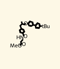 COC(=O)CCNC(=O)c1ccc(CC(C)COc2ccc(-c3ccc(C(C)(C)C)cc3)cc2)cc1